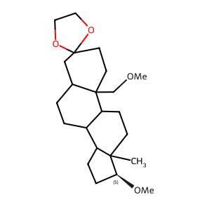 COCC12CCC3(CC1CCC1C2CCC2(C)C1CC[C@@H]2OC)OCCO3